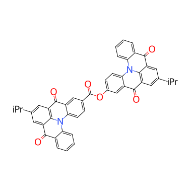 CC(C)c1cc2c(=O)c3ccccc3n3c4ccc(OC(=O)c5ccc6c(c5)c(=O)c5cc(C(C)C)cc7c(=O)c8ccccc8n6c75)cc4c(=O)c(c1)c23